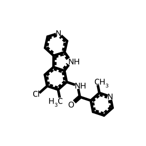 Cc1ncccc1C(=O)Nc1c(C)c(Cl)cc2c1[nH]c1cnccc12